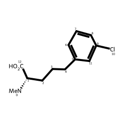 CN[C@@H](CCCc1cccc(Cl)c1)C(=O)O